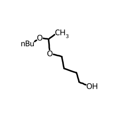 CCCCOC(C)OCCCCO